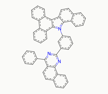 c1ccc(-c2nc(-c3cccc(-n4c5c6ccccc6ccc5c5c6ccccc6c6ccccc6c54)c3)nc3c2ccc2ccccc23)cc1